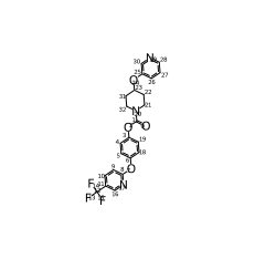 O=C(Oc1ccc(Oc2ccc(C(F)(F)F)cn2)cc1)N1CCC(Oc2cccnc2)CC1